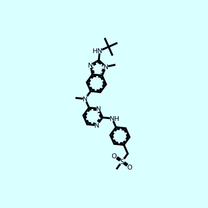 CN(c1ccc2c(c1)nc(NC(C)(C)C)n2C)c1ccnc(Nc2ccc(CS(C)(=O)=O)cc2)n1